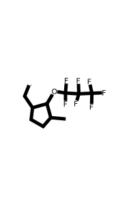 [CH2]CC1C[CH]C(C)C1OC(F)(F)C(F)(F)C(F)(F)F